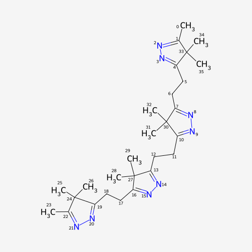 CC1=NN=C(CCC2=NN=C(CCC3=NN=C(CCC4=NN=C(C)C4(C)C)C3(C)C)C2(C)C)C1(C)C